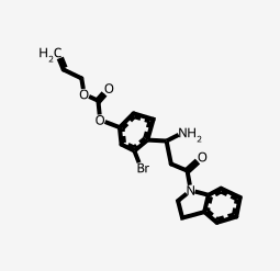 C=CCOC(=O)Oc1ccc(C(N)CC(=O)N2CCc3ccccc32)c(Br)c1